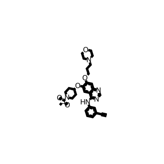 C#Cc1cccc(Nc2ncnc3cc(OCCCN4CCOCC4)c(OC4CCN(S(C)(=O)=O)CC4)cc23)c1